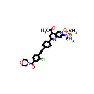 CC(=O)c1cc(-c2ccc(C#Cc3ccc(C(=O)N4CCOCC4)cc3Cl)cc2)nc2cc(N(C)S(C)(=O)=O)ncc12